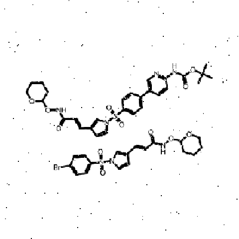 CC(C)(C)OC(=O)Nc1ccc(-c2ccc(S(=O)(=O)n3ccc(C=CC(=O)NOC4CCCCO4)c3)cc2)cn1.O=C(C=Cc1ccn(S(=O)(=O)c2ccc(Br)cc2)c1)NOC1CCCCO1